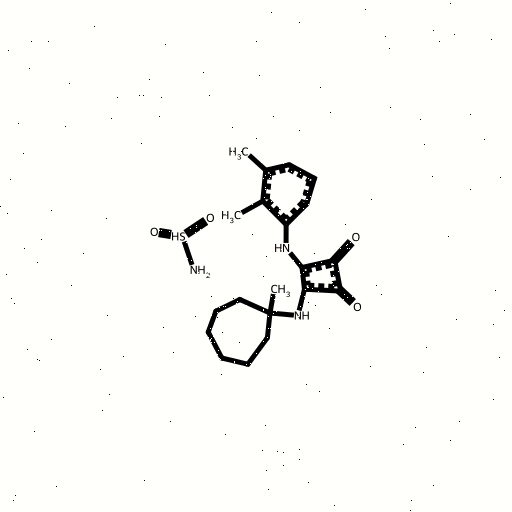 Cc1cccc(Nc2c(NC3(C)CCCCCC3)c(=O)c2=O)c1C.N[SH](=O)=O